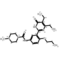 CCCOc1ccc(NC(=O)N2CCN(C)CC2)cc1-c1nc(CC)c(CC)c(=O)[nH]1